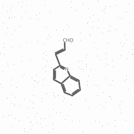 O=CC=Cc1ccc2ccccc2n1